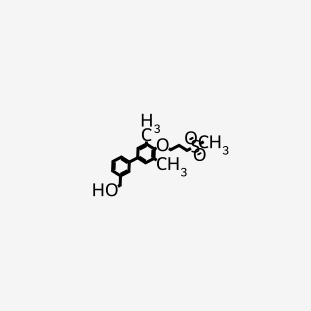 Cc1cc(-c2cccc(CO)c2)cc(C)c1OCCCS(C)(=O)=O